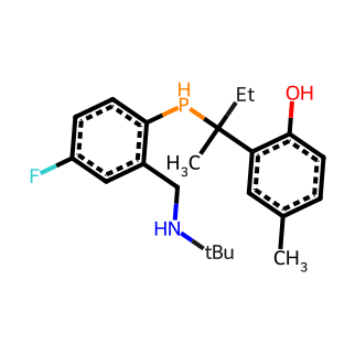 CCC(C)(Pc1ccc(F)cc1CNC(C)(C)C)c1cc(C)ccc1O